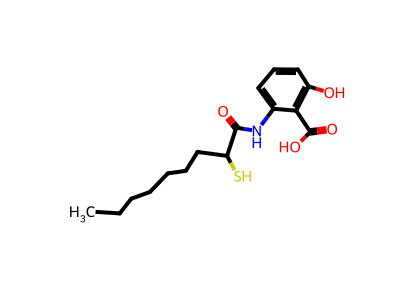 CCCCCCCC(S)C(=O)Nc1cccc(O)c1C(=O)O